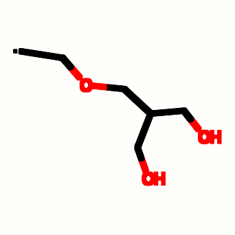 [CH2]COCC(CO)CO